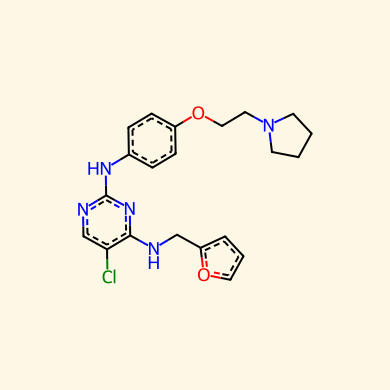 Clc1cnc(Nc2ccc(OCCN3CCCC3)cc2)nc1NCc1ccco1